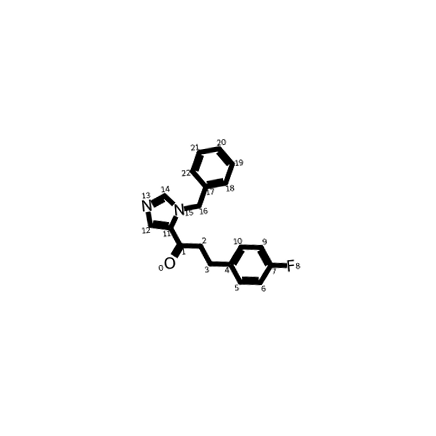 O=C(CCc1ccc(F)cc1)c1cncn1Cc1ccccc1